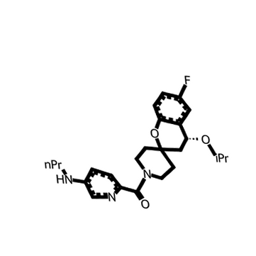 CCCNc1ccc(C(=O)N2CCC3(CC2)C[C@@H](OC(C)C)c2cc(F)ccc2O3)nc1